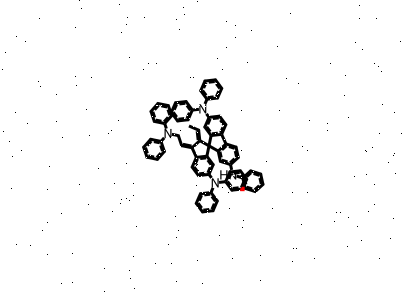 C/C=C1\C(=C/CN(c2ccccc2)c2ccccc2)c2ccc(N(c3ccccc3)c3ccccc3)cc2C12c1cc(Nc3ccccc3)ccc1-c1ccc(N(c3ccccc3)c3ccccc3)cc12